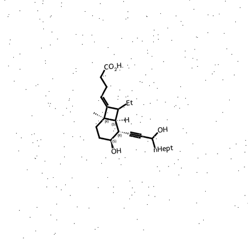 CCCCCCCC(O)C#C[C@@H]1[C@@H](O)CC[C@@]2(C)C(=CCCC(=O)O)C(CC)[C@@H]12